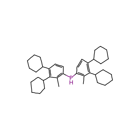 Cc1c(Pc2ccc(C3CCCCC3)c(C3CCCCC3)c2C)ccc(C2CCCCC2)c1C1CCCCC1